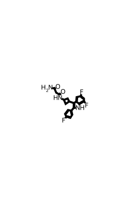 NC(=O)CC(=O)NC1CC(c2c(-c3ccc(F)cc3)[nH]c3c(F)cc(F)cc23)C1